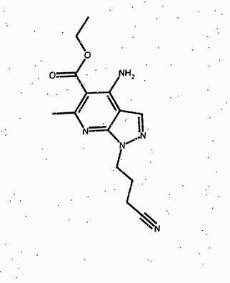 CCOC(=O)c1c(C)nc2c(cnn2CCCC#N)c1N